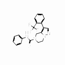 O=C(Nc1ccccc1)N1CCn2ncc(-c3ccccc3C(F)(F)F)c2C1